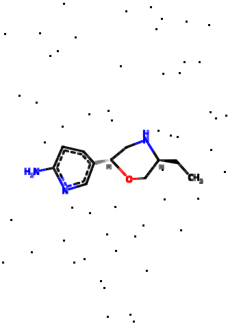 CC[C@H]1CO[C@H](c2ccc(N)nc2)CN1